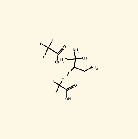 CC(CN)C(C)(C)N.O=C(O)C(F)(F)F.O=C(O)C(F)(F)F